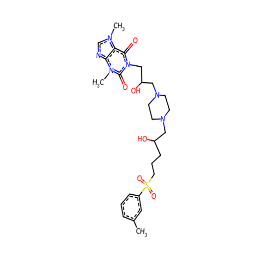 Cc1cccc(S(=O)(=O)CCCC(O)CN2CCN(CC(O)Cn3c(=O)c4c(ncn4C)n(C)c3=O)CC2)c1